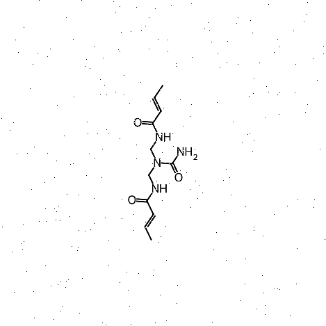 CC=CC(=O)NCN(CNC(=O)C=CC)C(N)=O